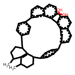 CC1CCC2C3=C1C(C)CCC3c1ccc(cc1)-c1ccc3ccc(O)c(c3c1)-c1c(O)ccc3ccc(cc13)-c1ccc2cc1